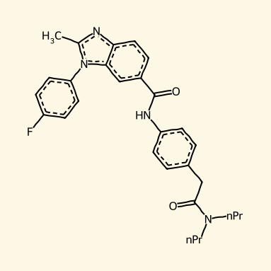 CCCN(CCC)C(=O)Cc1ccc(NC(=O)c2ccc3nc(C)n(-c4ccc(F)cc4)c3c2)cc1